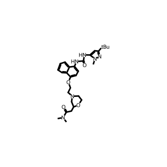 CN(C)C(=O)CC1CN(CCOc2ccc(NC(=O)Nc3cc(C(C)(C)C)nn3C)c3ccccc23)CCO1